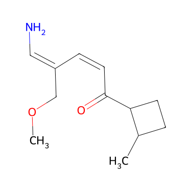 COCC(/C=C\C(=O)C1CCC1C)=C/N